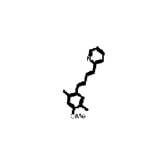 COc1cc(C)c(/C=C/C=C/c2ccccn2)cc1C